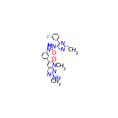 CCc1ncc(NC(=O)Nc2cccc(-c3cc4cnc(NC)nc4n(C)c3=O)c2)c(-c2cccc(F)c2)n1